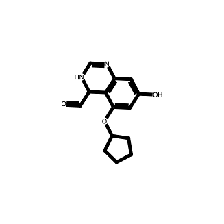 O=CC1NC=Nc2cc(O)cc(OC3CCCC3)c21